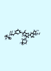 Cc1c(-c2cccc(CNS(C)(=O)=O)c2)sc2c(N3CCOCC3)nc(-c3cnc4c(c3)CCN4)nc12